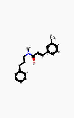 CC(=O)N(CCCc1ccccc1)C(=O)C=Cc1cccc([N+](=O)[O-])c1